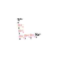 [BH4-].[BH4-].[BH4-].[BH4-].[BH4-].[Na+].[Ti+4]